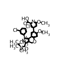 COc1cc(-c2cc3c(cc2OC)OCc2c(C(=O)N(C)C(C)(C)C)nn(-c4cc(Cl)cc(Cl)c4)c2-3)cc(C(=O)O)n1